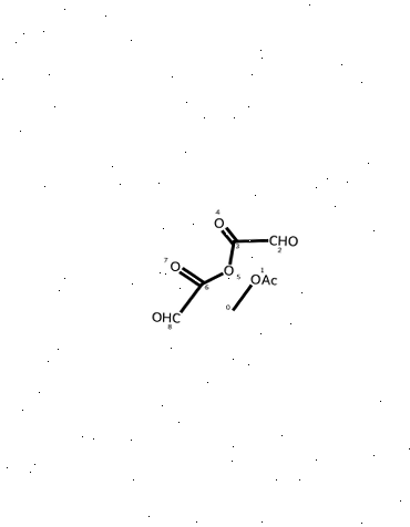 COC(C)=O.O=CC(=O)OC(=O)C=O